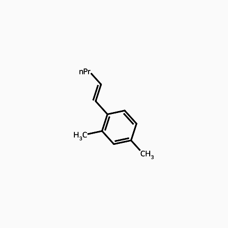 CCCC=Cc1ccc(C)cc1C